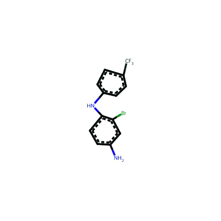 Nc1ccc(Nc2ccc(C(F)(F)F)cc2)c(Br)c1